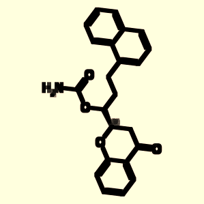 NC(=O)OC(CCc1cccc2ccccc12)[C@H]1CC(=O)c2ccccc2O1